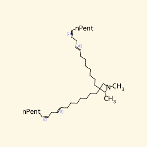 CCCCC/C=C\C/C=C/CCCCCCCC1(CCCCCCC/C=C/C/C=C\CCCCC)CN(C)C1C